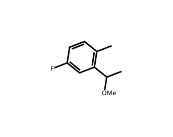 COC(C)c1cc(F)ccc1C